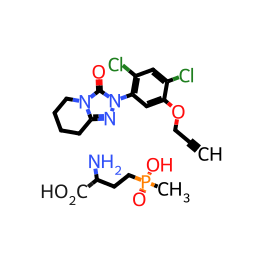 C#CCOc1cc(-n2nc3n(c2=O)CCCC3)c(Cl)cc1Cl.CP(=O)(O)CCC(N)C(=O)O